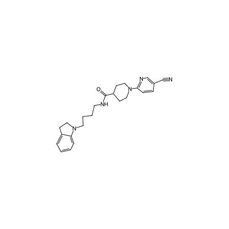 N#Cc1ccc(N2CCC(C(=O)NCCCCN3CCc4ccccc43)CC2)nc1